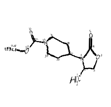 CC1COC(=O)N1C1CCN(C(=O)OC(C)(C)C)CC1